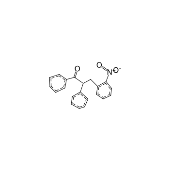 O=C(c1ccccc1)C(Cc1ccccc1[N+](=O)[O-])c1ccccc1